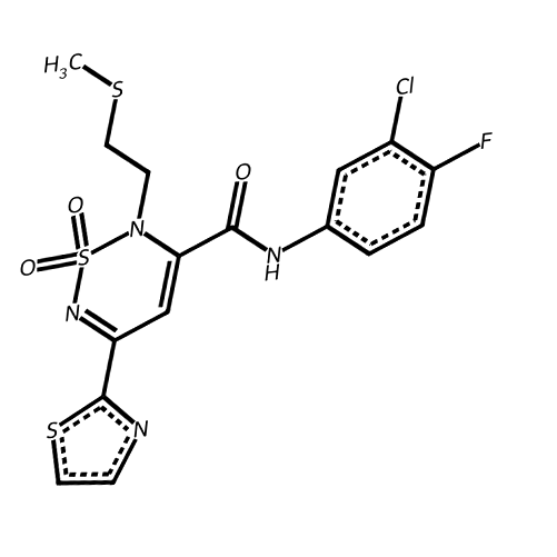 CSCCN1C(C(=O)Nc2ccc(F)c(Cl)c2)=CC(c2nccs2)=NS1(=O)=O